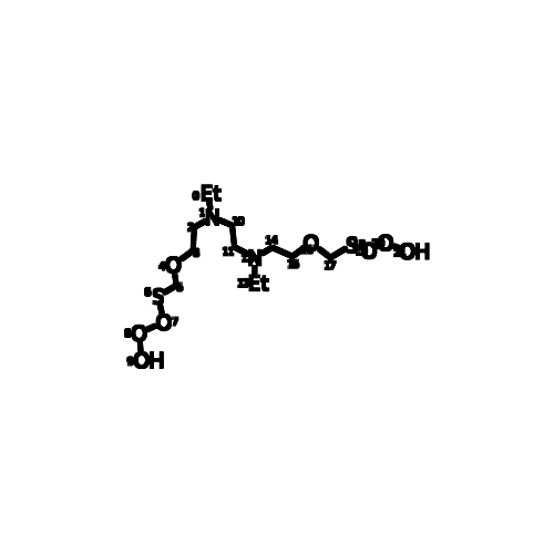 CCN(CCOCSOOO)CCN(CC)CCOCSOOO